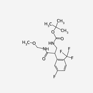 COCNC(=O)C(CNC(=O)OC(C)(C)C)c1cc(F)ccc1C(F)(F)F